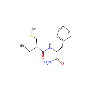 CC(=O)SC[C@H](CC(C)C)C(=O)N[C@@H](Cc1ccccc1)C(N)=O